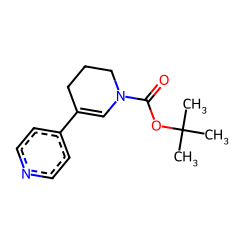 CC(C)(C)OC(=O)N1C=C(c2ccncc2)CCC1